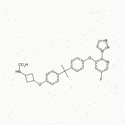 CC(C)(c1ccc(Oc2cc(F)cnc2-n2ccnn2)cc1)c1ccc(OC2CC(NC(=O)O)C2)cc1